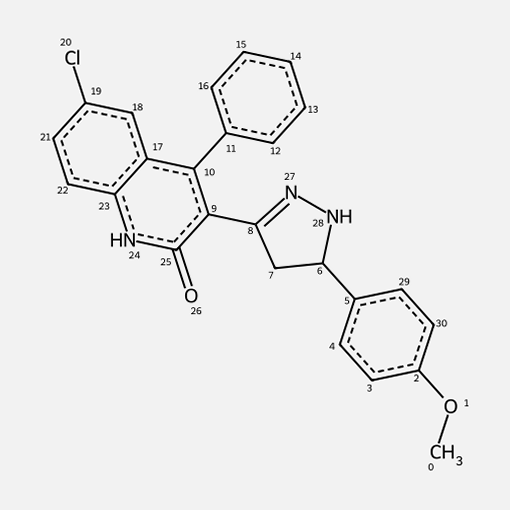 COc1ccc(C2CC(c3c(-c4ccccc4)c4cc(Cl)ccc4[nH]c3=O)=NN2)cc1